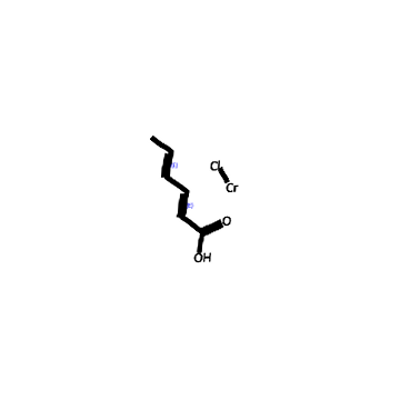 C/C=C/C=C/C(=O)O.[Cl][Cr]